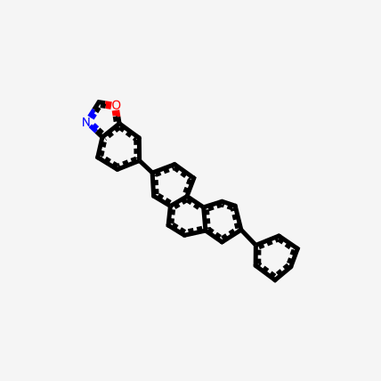 c1ccc(-c2ccc3c(ccc4cc(-c5ccc6ncoc6c5)ccc43)c2)cc1